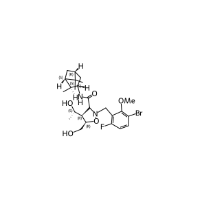 COc1c(Br)ccc(F)c1CN1O[C@@H](CO)[C@@H]([C@H](C)O)C1C(=O)N[C@H]1C[C@H]2C[C@@H]([C@@H]1C)C2(C)C